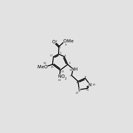 COC(=O)c1cc(NCc2cncs2)c([N+](=O)[O-])c(OC)c1